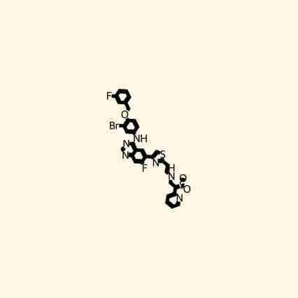 O=S(=O)=C(CNCCc1nc(-c2cc3c(Nc4ccc(OCc5cccc(F)c5)c(Br)c4)ncnc3cc2F)cs1)c1ccccn1